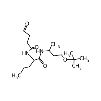 CCCC(NC(=O)CCC=O)C(=O)NC(C)CCOC(C)(C)C